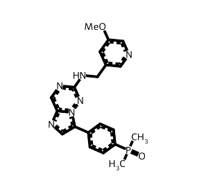 COc1cncc(CNc2ncc3ncc(-c4ccc(P(C)(C)=O)cc4)n3n2)c1